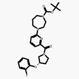 CC(C)(C)OC(=O)N1CCCN(c2cccc(C(=O)N3CC[C@H](Oc4ccccc4F)C3)n2)CC1